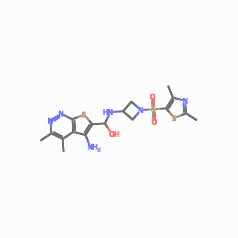 Cc1nc(C)c(S(=O)(=O)N2CC(NC(O)c3sc4nnc(C)c(C)c4c3N)C2)s1